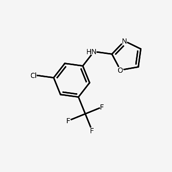 FC(F)(F)c1cc(Cl)cc(Nc2ncco2)c1